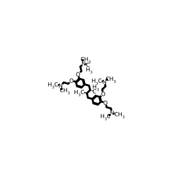 C[C@H](Cc1ccc(OCCN(C)C)c(OCCN(C)C)c1)[C@@H](C)Cc1ccc(OCCN(C)C)c(OCCN(C)C)c1